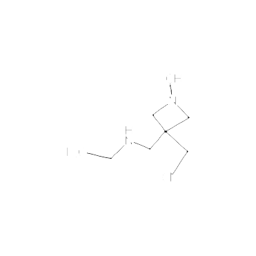 CN1CC(CCl)(CNCC(F)(F)F)C1